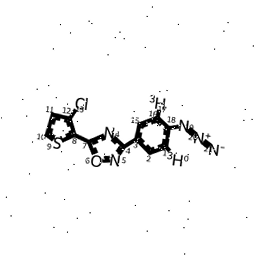 [3H]c1cc(-c2noc(-c3sccc3Cl)n2)cc([3H])c1N=[N+]=[N-]